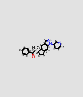 C[C@]12Cc3cnn(-c4cccnc4)c3C=C1CC[C@@H]2CC(=O)c1ccccc1